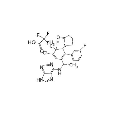 CC(Nc1ncnc2[nH]cnc12)C1=C(c2cccc(F)c2)C(N2CCCC2=O)C(C)(F)C(Cl)=C1.O=C(O)C(F)(F)F